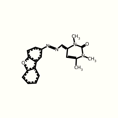 CC1=CC(=CN=Nc2ccc3oc4ccccc4c3c2)N(C)C(=O)N1C